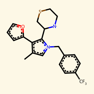 Cc1cn(Cc2ccc(C(F)(F)F)cc2)c(C2CSCC[N]2)c1-c1ccco1